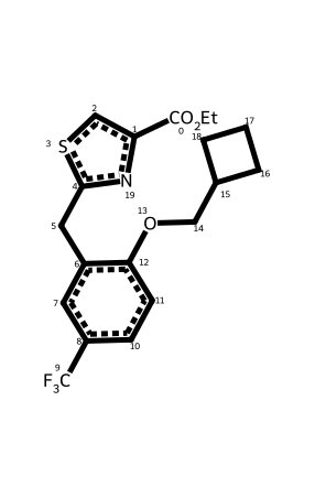 CCOC(=O)c1csc(Cc2cc(C(F)(F)F)ccc2OCC2CCC2)n1